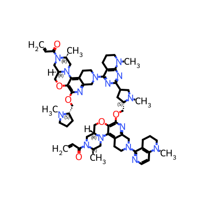 C=CC(=O)N1C[C@@H]2COc3c(OC[C@@H]4CC(c5nc6c(c(N7CCc8c(nc(OC[C@@H]9CCCN9C)c9c8N8C[C@@H](C)N(C(=O)C=C)C[C@@H]8CO9)C7)n5)CCCN6C)CN4C)nc4c(c3N2C[C@H]1C)CCN(c1nccc2c1CCCN2C)C4